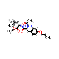 C=CCOc1ccc(C[C@H](NC(C)=O)C(=O)N[C@@H](CC(C)C)C(=O)OC)cc1